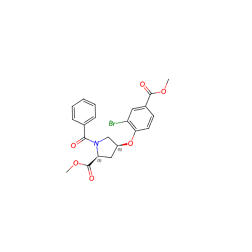 COC(=O)c1ccc(O[C@H]2C[C@@H](C(=O)OC)N(C(=O)c3ccccc3)C2)c(Br)c1